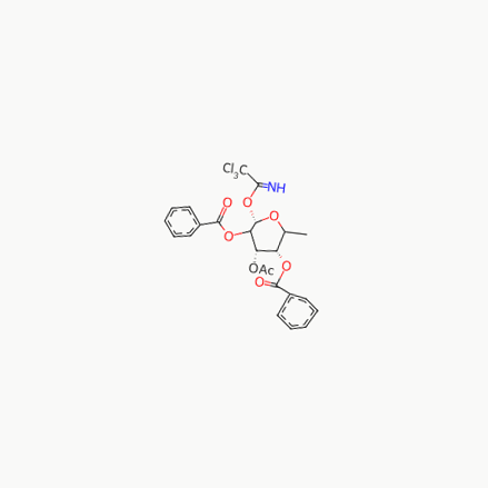 CC(=O)O[C@@H]1C(OC(=O)c2ccccc2)[C@H](OC(=N)C(Cl)(Cl)Cl)OC(C)[C@@H]1OC(=O)c1ccccc1